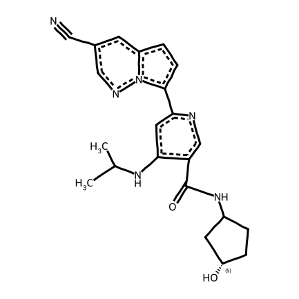 CC(C)Nc1cc(-c2ccc3cc(C#N)cnn23)ncc1C(=O)NC1CC[C@H](O)C1